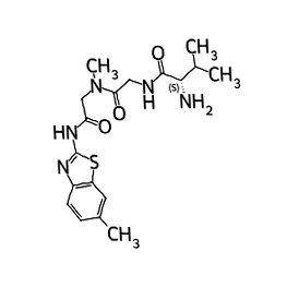 Cc1ccc2nc(NC(=O)CN(C)C(=O)CNC(=O)[C@@H](N)C(C)C)sc2c1